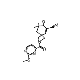 CSc1nccc(C(=O)N2CC3(C=C(C#N)C(=O)C(C)(C)C3)C2)n1